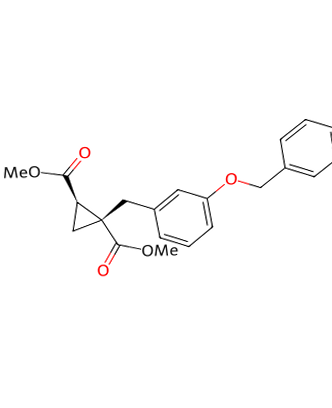 COC(=O)[C@@H]1C[C@@]1(Cc1cccc(OCc2ccccc2)c1)C(=O)OC